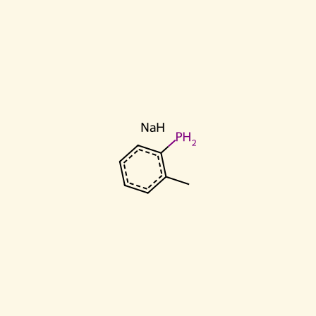 Cc1ccccc1P.[NaH]